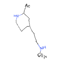 CC(=O)C1CC(CCNC(=O)O)CCN1